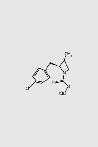 CC1CN(C(=O)OC(C)(C)C)[C@H]1Cc1ccc(Cl)cc1